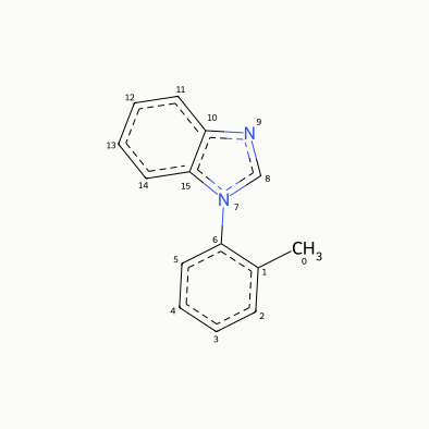 Cc1ccccc1-n1cnc2ccccc21